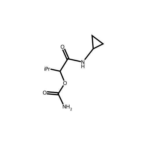 CC(C)C(OC(N)=O)C(=O)NC1CC1